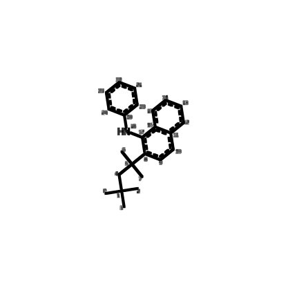 CC(C)(C)CC(C)(C)c1ccc2ccccc2c1Nc1ccccc1